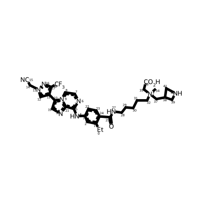 CCc1cc(Nc2nccn3c(-c4cn(CC#N)nc4C(F)(F)F)cnc23)ccc1C(=O)NCCCCC[N+](C)(CC(=O)O)CC1CNC1